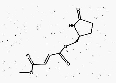 COC(=O)/C=C/C(=O)OC[C@@H]1CCC(=O)N1